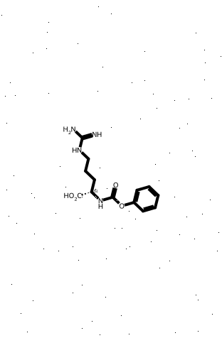 N=C(N)NCCC[C@H](NC(=O)Oc1ccccc1)C(=O)O